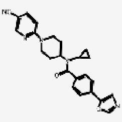 N#Cc1ccc(N2CCC(N(C(=O)c3ccc(-c4cnco4)cc3)C3CC3)CC2)nc1